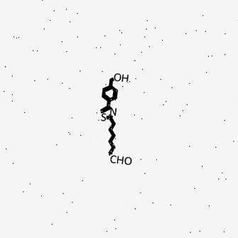 O=CCCCCCCc1nc(-c2ccc(CO)cc2)cs1